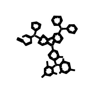 C#C/C=C\C(=C/C)N(c1ccccc1)c1ccc2c(c1)c1cc(N(c3ccccc3)c3ccccc3)ccc1n2-c1ccc(B(c2c(C)cc(C)cc2C)c2c(C)cc(C)cc2C)c(C)c1